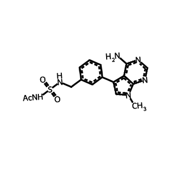 CC(=O)NS(=O)(=O)NCc1cccc(-c2cn(C)c3ncnc(N)c23)c1